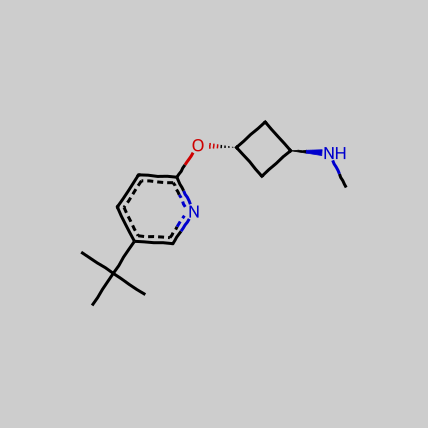 CN[C@H]1C[C@H](Oc2ccc(C(C)(C)C)cn2)C1